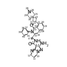 C[C@@H](NC(=O)c1c(N)nn2cccnc12)c1cc2cccc(C3CC4(CCN(C)CC4)C3)c2c(=O)n1-c1ccccc1